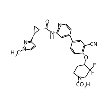 Cn1ccc([C@H]2C[C@@H]2C(=O)Nc2cc(-c3ccc(OC4CCN(C(=O)O)CC4(F)F)c(C#N)c3)ccn2)n1